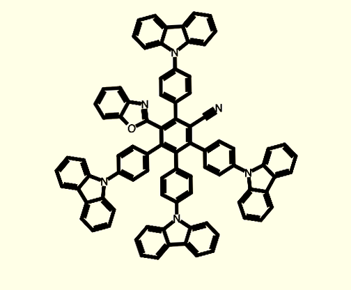 N#Cc1c(-c2ccc(-n3c4ccccc4c4ccccc43)cc2)c(-c2ccc(-n3c4ccccc4c4ccccc43)cc2)c(-c2ccc(-n3c4ccccc4c4ccccc43)cc2)c(-c2nc3ccccc3o2)c1-c1ccc(-n2c3ccccc3c3ccccc32)cc1